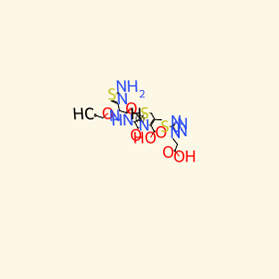 C#CCON=C(C(=O)NC1C(=O)N2C(C(=O)O)=C(CSc3nnnn3CCC(=O)O)CS[C@@H]12)c1csc(N)n1